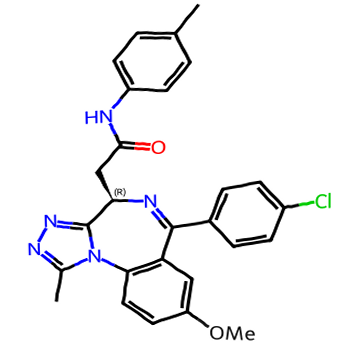 COc1ccc2c(c1)C(c1ccc(Cl)cc1)=N[C@H](CC(=O)Nc1ccc(C)cc1)c1nnc(C)n1-2